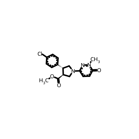 COC(=O)[C@@H]1CN(c2ccc(=O)n(C)n2)C[C@H]1c1ccc(Cl)cc1